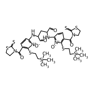 C[Si](C)(C)CCSc1c(C(=O)N2CCSC2=S)ccc(NC(C=O)CC(C=O)Nc2ccc(C(=O)N3CCSC3=S)c(SCC[Si](C)(C)C)[n+]2[O-])[n+]1[O-]